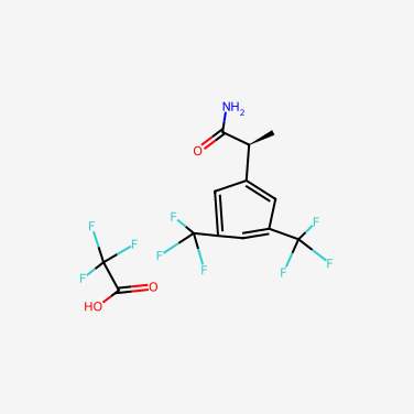 C[C@H](C(N)=O)c1cc(C(F)(F)F)cc(C(F)(F)F)c1.O=C(O)C(F)(F)F